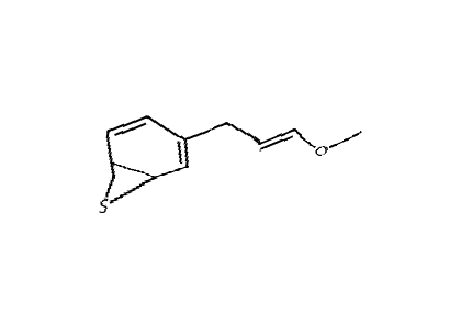 COC=CCC1=CC2SC2C=C1